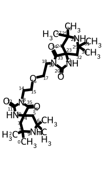 CC1(C)CC2(CC(C)(C)N1)NC(=O)N(CCOCCN1C(=O)NC3(CC(C)(C)NC(C)(C)C3)C1=O)C2=O